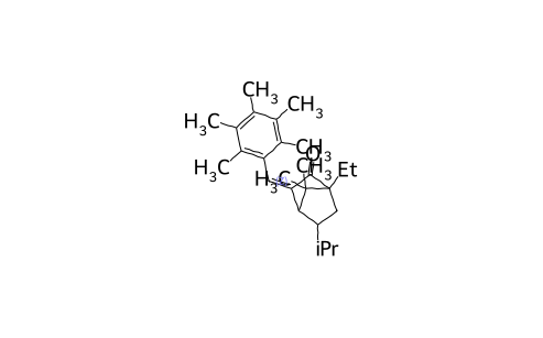 CCC12CC(C(C)C)C(/C(=C/c3c(C)c(C)c(C)c(C)c3C)C1=O)C2(C)C